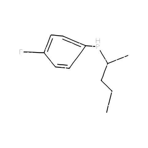 CCCC(C)Pc1ccc(F)cc1